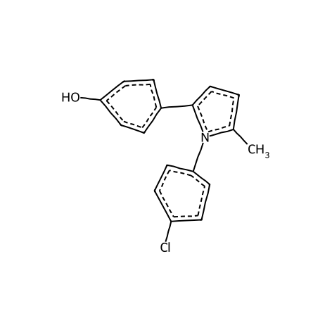 Cc1ccc(-c2ccc(O)cc2)n1-c1ccc(Cl)cc1